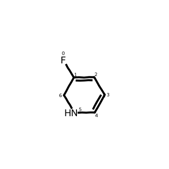 FC1=C[C]=CNC1